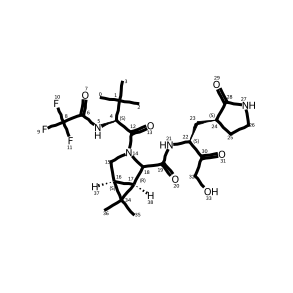 CC(C)(C)[C@H](NC(=O)C(F)(F)F)C(=O)N1C[C@H]2[C@@H](C1C(=O)N[C@@H](C[C@@H]1CCNC1=O)C(=O)CO)C2(C)C